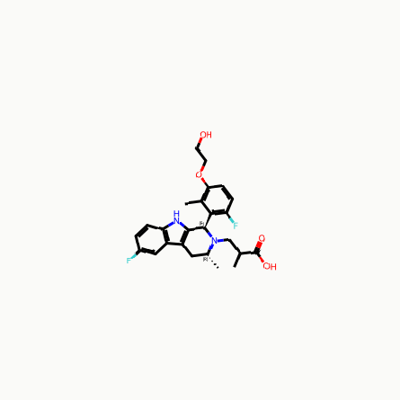 Cc1c(OCCO)ccc(F)c1[C@@H]1c2[nH]c3ccc(F)cc3c2C[C@@H](C)N1CC(C)C(=O)O